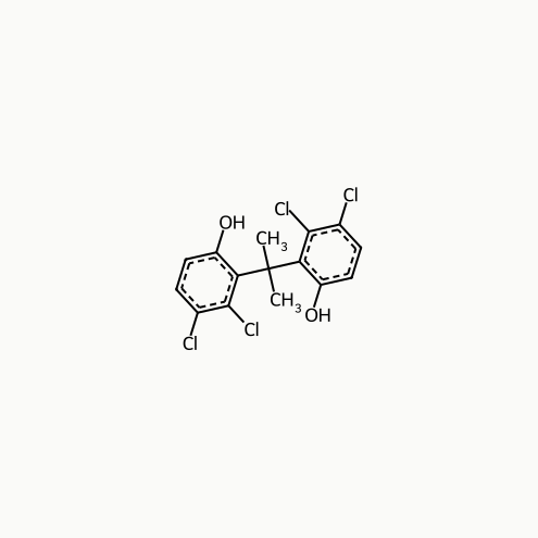 CC(C)(c1c(O)ccc(Cl)c1Cl)c1c(O)ccc(Cl)c1Cl